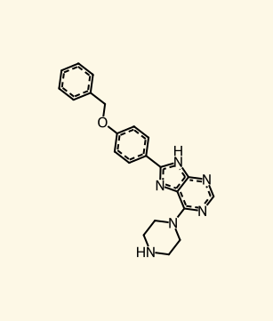 c1ccc(COc2ccc(-c3nc4c(N5CCNCC5)ncnc4[nH]3)cc2)cc1